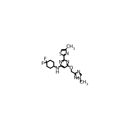 Cc1csc(-c2nc(NC3CCC(F)(F)CC3)cc(OCc3ncn(C)n3)n2)n1